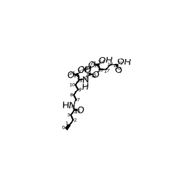 C#CCCC(=O)NCCCCC(NC(=O)OC(CCC(=O)O)C(=O)O)C(=O)O